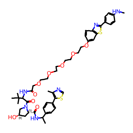 CNc1ccc(-c2nc3ccc(OCCOCCOCCOCCOCC(=O)NC(C(=O)N4C[C@H](O)C[C@H]4C(=O)NC(C)c4ccc(-c5scnc5C)cc4)C(C)(C)C)cc3s2)cc1